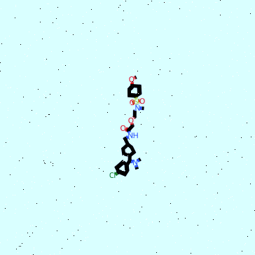 COc1ccc(S(=O)(=O)N(C)CCOCC(=O)NCC2CCC(C(c3ccc(Cl)cc3)N(C)C)CC2)cc1